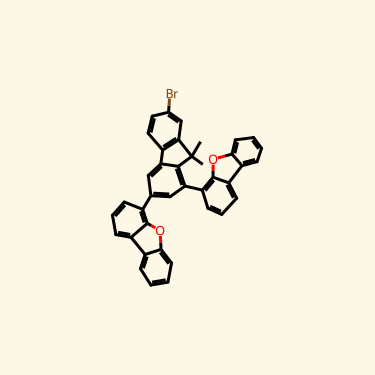 CC1(C)c2cc(Br)ccc2-c2cc(-c3cccc4c3oc3ccccc34)cc(-c3cccc4c3oc3ccccc34)c21